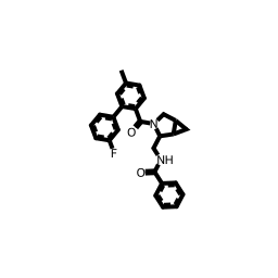 Cc1ccc(C(=O)N2CC3CC3C2CNC(=O)c2ccccc2)c(-c2cccc(F)c2)c1